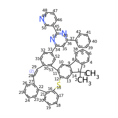 CC1(C)c2ccccc2-c2cc3c(cc21)Sc1ccccc1-c1ccccc1/C=C\c1ccc(-c2cc(-c4ccccc4)nc(-c4cccnc4)n2)cc1-3